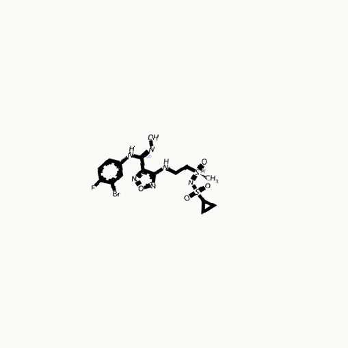 C[S@@](=O)(CCNc1nonc1/C(=N/O)Nc1ccc(F)c(Br)c1)=NS(=O)(=O)C1CC1